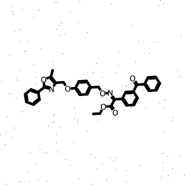 CCOC(=O)C(=NOCc1ccc(OCc2nc(-c3ccccc3)oc2C)cc1)c1cccc(C(=O)c2ccccc2)c1